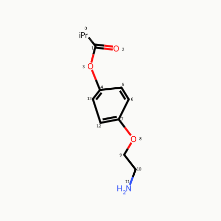 CC(C)C(=O)Oc1ccc(OCCN)cc1